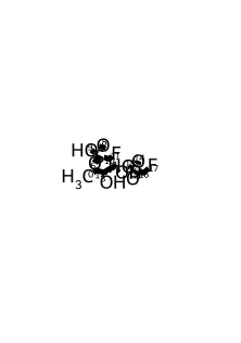 CCC(O)CO.O=S(=O)(O)CF.O=S(=O)(O)CF